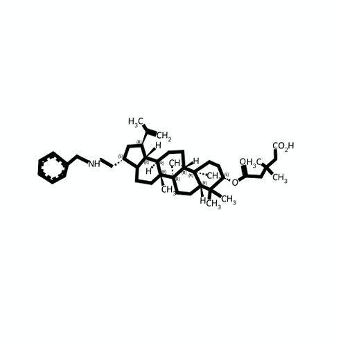 C=C(C)[C@@H]1C[C@@H](CCNCc2ccccc2)C2CC[C@]3(C)[C@H](CC[C@@H]4[C@@]5(C)CC[C@H](OC(=O)CC(C)(C)CC(=O)O)C(C)(C)[C@@H]5CC[C@]43C)[C@H]21